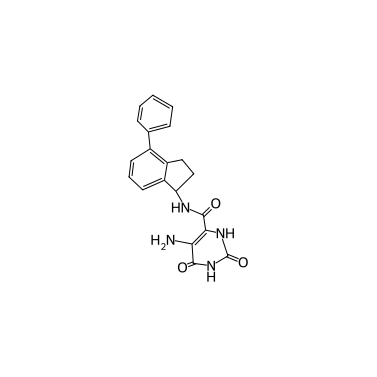 Nc1c(C(=O)NC2CCc3c(-c4ccccc4)cccc32)[nH]c(=O)[nH]c1=O